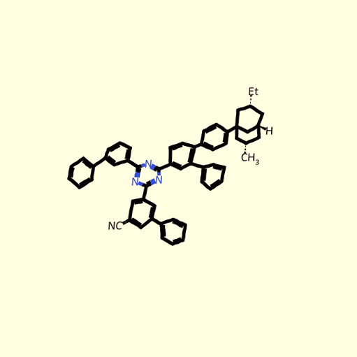 CC[C@@H]1C[C@@H]2C[C@H](C)CC(c3ccc(-c4ccc(-c5nc(-c6cccc(-c7ccccc7)c6)nc(-c6cc(C#N)cc(-c7ccccc7)c6)n5)cc4-c4ccccc4)cc3)(C1)C2